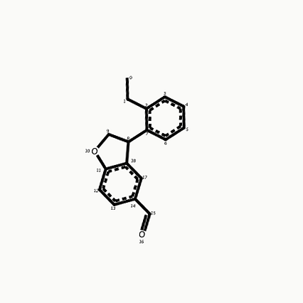 CCc1ccccc1C1COc2ccc(C=O)cc21